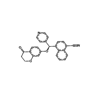 N#Cc1ccc([C@@H](Oc2ccc3c(c2)OCCC3=O)c2ccncc2)c2ccccc12